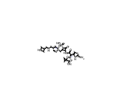 C=NN(CC1C(NC(=O)/C(=N\OC2(C(=O)O)CC2)C2=CSC(N)N2)C(=O)N1S(=O)(=O)O)/N=C\CCNCC1CNC1